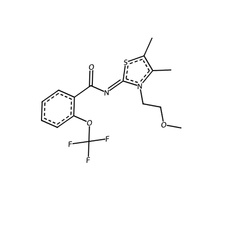 COCCn1c(C)c(C)sc1=NC(=O)c1ccccc1OC(F)(F)F